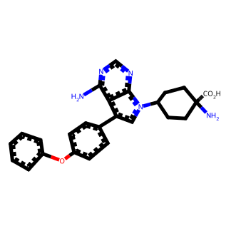 Nc1ncnc2c1c(-c1ccc(Oc3ccccc3)cc1)cn2C1CCC(N)(C(=O)O)CC1